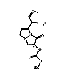 C=CC(C(=O)O)C1=CCN2C[C@H](NC(=O)OC(C)(C)C)C(=O)N12